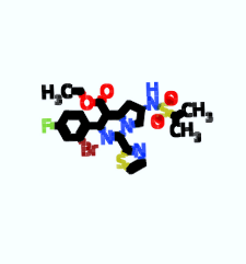 CCOC(=O)C1=C2C[C@H](NS(=O)(=O)C(C)C)CN2C(c2nccs2)=NC1c1ccc(F)cc1Br